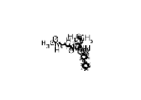 CC(=O)NCCCCCC(=O)N1C[C@H](NS(=O)(=O)c2ccc(-c3ccccc3)cc2)[C@@H](SC(C)(C)C)C1